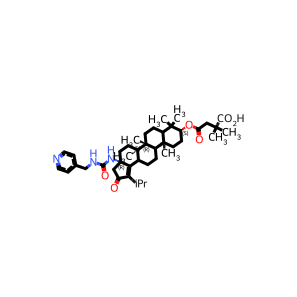 CC(C)C1=C2C3CCC4[C@@]5(C)CC[C@H](OC(=O)CC(C)(C)C(=O)O)C(C)(C)C5CC[C@@]4(C)[C@]3(C)CC[C@@]2(NC(=O)NCc2ccncc2)CC1=O